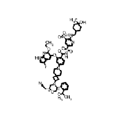 CCOc1nc2[nH]cc(F)c2cc1Oc1cc(N2CCC3(CC2)CC(N2C[C@@H](CC#N)OC[C@H]2c2ccccc2C(C)C)C3)ccc1C(=O)NS(=O)(=O)c1cnc(NCC2CCC(C)(O)CC2)c([N+](=O)[O-])c1